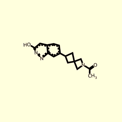 CC(=O)N1CC2(CC(c3ccc4cc(O)nnc4c3)C2)C1